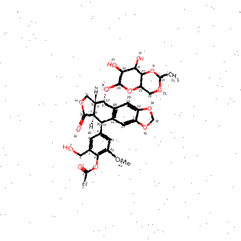 CCC(=O)Oc1c(CO)cc([C@@H]2c3cc4c(cc3[C@@H](OC3OC5COC(C)OC5C(O)C3O)[C@H]3COC(=O)[C@H]23)OCO4)cc1OC